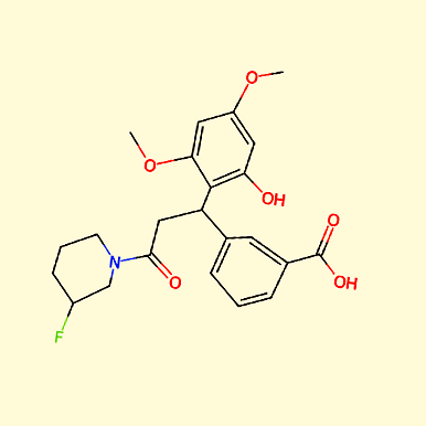 COc1cc(O)c(C(CC(=O)N2CCCC(F)C2)c2cccc(C(=O)O)c2)c(OC)c1